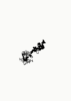 Cc1cc(COC2(c3cnccc3-c3ccccc3OC3CC3)CC2)c(Cl)cc1CCCCNC(=O)NCC1O[C@H](CO)[C@@H](O)[C@H](O)[C@H]1O